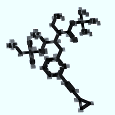 CCN(C(=O)OC(C)(C)C)C(Cc1cccc(C#CC2CC2)n1)C(C)NS(=O)(=O)CC